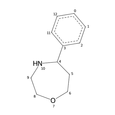 c1ccc(C2CCOCCN2)cc1